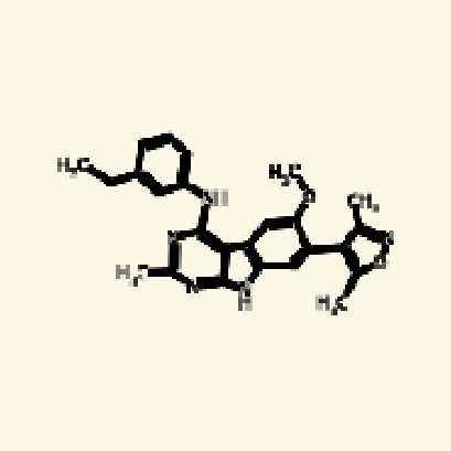 CCc1cccc(Nc2nc(C)nc3[nH]c4cc(-c5c(C)noc5C)c(OC)cc4c23)c1